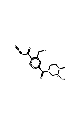 CCC(C)[C@H]1CN(C(=O)c2cc(CC(C)C)c(C(=O)N=[N+]=[N-])nn2)CCN1C